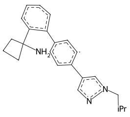 CC(C)Cn1cc(-c2[c]cc(-c3ccccc3C3(N)CCC3)cc2)cn1